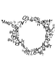 C=C1C(=O)N(C)[C@@H](CC(C)(C)OCOC)C(=O)N[C@@H](C(C)C)C(=O)N(C)[C@@H](CC(C)C)C(=O)N[C@@H](C)C(=O)N[C@H](C)C(=O)N(C)[C@@H](CC(C)C)C(=O)N(C)[C@@H](CC(C)C)C(=O)N(C)[C@@H](C(C)C)C(=O)N(C)[C@@H]([C@H](O)[C@H](C)C/C=C/C)C(=O)N[C@@H](CC)C(=O)N1C